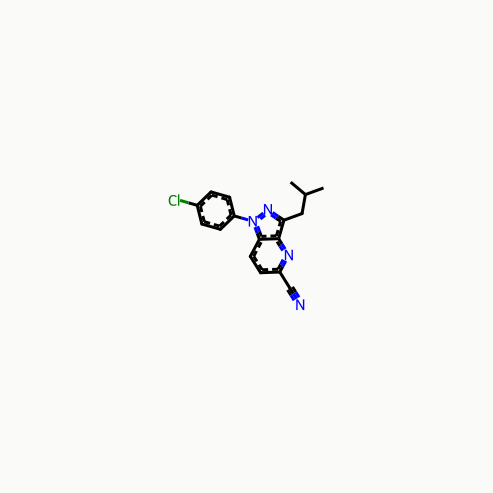 CC(C)Cc1nn(-c2ccc(Cl)cc2)c2ccc(C#N)nc12